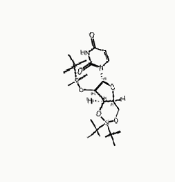 CC(C)(C)[Si](C)(C)O[C@@H]1[C@@H]2O[Si](C(C)(C)C)(C(C)(C)C)OC[C@H]2O[C@H]1n1ccc(=O)[nH]c1=O